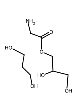 NCC(=O)OCC(O)CO.OCCCO